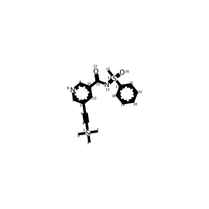 C[Si](C)(C)C#Cc1cncc(C(=O)N=S(C)(=O)c2ccccc2)c1